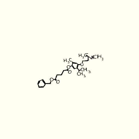 Cc1cc(OCCN(C)C)c(C(C)C)cc1OC(=O)CCCC(=O)OCc1ccccc1